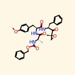 COc1ccc(C[C@H](NC(=O)[C@H](C)NC(=O)OCc2ccccc2)C(=O)N[C@@H](Cc2ccccc2)C(=O)[C@@]2(C)CO2)cc1